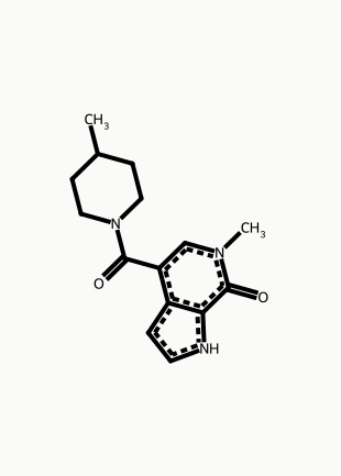 CC1CCN(C(=O)c2cn(C)c(=O)c3[nH]ccc23)CC1